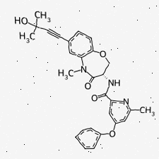 Cc1cc(Oc2ccccc2)cc(C(=O)N[C@H]2COc3ccc(C#CC(C)(C)O)cc3N(C)C2=O)n1